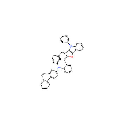 c1ccc(N(c2ccc3c(ccc4ccccc43)c2)c2ccccc2-c2cccc3c2oc2c4ccccc4n(-c4ccccc4)c32)cc1